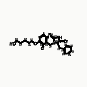 O=C1NC2=Nc3ccc(OCCCCCO)c(Cl)c3CN2C1Cc1ccccc1